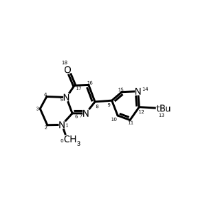 CN1CCCn2c1nc(-c1ccc(C(C)(C)C)nc1)cc2=O